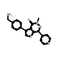 Cn1nc(-c2ccncc2)c2scc(-c3ccc(CN)cc3)c2c1=O